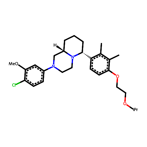 COc1cc(N2CCN3[C@@H](CCC[C@@H]3c3ccc(OCCOC(C)C)c(C)c3C)C2)ccc1Cl